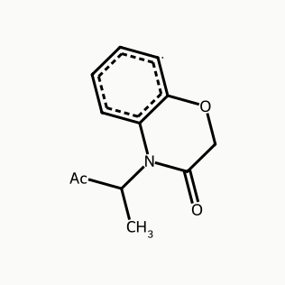 CC(=O)C(C)N1C(=O)COc2[c]cccc21